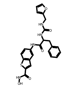 O=C(NCc1ccco1)NC(Cc1ccccc1)C(=O)Nc1ccc2sc(C(=O)NO)cc2c1